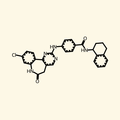 O=C1Cc2cnc(Nc3ccc(C(=O)NC4CCCc5ccccc54)cc3)nc2-c2ccc(Cl)cc2N1